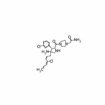 C=C/C=C(Cl)\C=C/C[C@@]1(N)CNC(C(=O)N2CCN(CC(N)=O)CC2)[C@@H]1c1cccc(Cl)c1